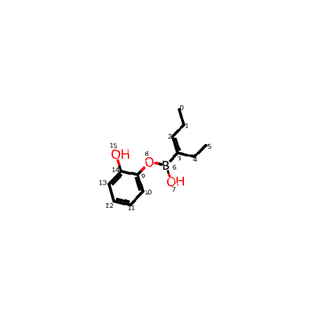 CCC=C(CC)B(O)Oc1ccccc1O